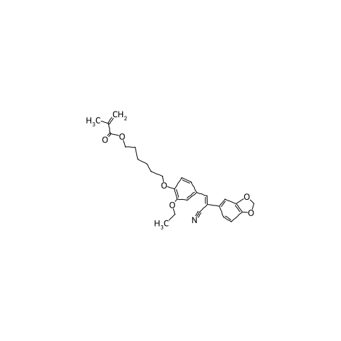 C=C(C)C(=O)OCCCCCCOc1ccc(C=C(C#N)c2ccc3c(c2)OCO3)cc1OCC